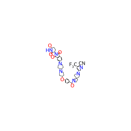 N#Cc1ncc(N2CCC3(CCN(C(=O)c4ccc(OC5CCN(C6CCN(c7ccc8c(c7)C(=O)N(C7CCC(=O)NC7=O)C8=O)CC6)CC5)cc4)C3)CC2)cc1C(F)(F)F